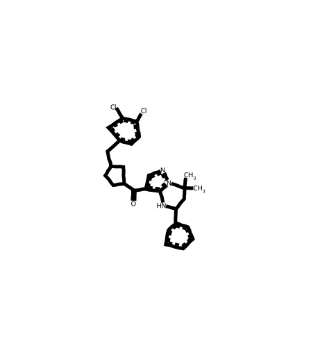 CC1(C)CC(c2ccccc2)Nc2c(C(=O)C3CCC(Cc4ccc(Cl)c(Cl)c4)C3)cnn21